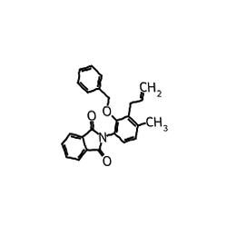 C=CCc1c(C)ccc(N2C(=O)c3ccccc3C2=O)c1OCc1ccccc1